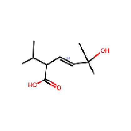 CC(C)C(/C=C/C(C)(C)O)C(=O)O